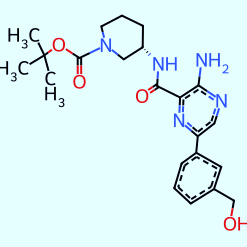 CC(C)(C)OC(=O)N1CCC[C@H](NC(=O)c2nc(-c3cccc(CO)c3)cnc2N)C1